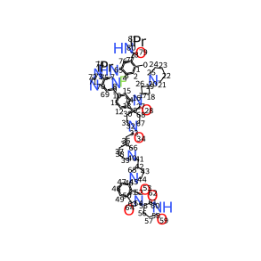 Cc1cc(F)c(Nc2nc(-c3ccc4c(c3)N(C3CC(N5CCCCC5)C3)C(=O)C43CCN(C(=O)CC4CCCN(CC5CCN(c6cccc7c6C(=O)N(C6CCC(=O)NC6=O)C7=O)C5)C4)CC3)cc3ncn(C(C)C)c23)cc1C(=O)NC(C)C